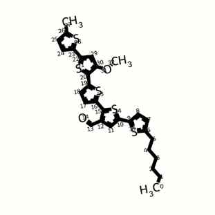 CCCCCCc1ccc(-c2cc(C=O)c(-c3ccc(-c4sc(-c5ccc(C)s5)cc4OC)s3)s2)s1